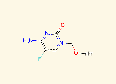 CCCOCn1cc(F)c(N)nc1=O